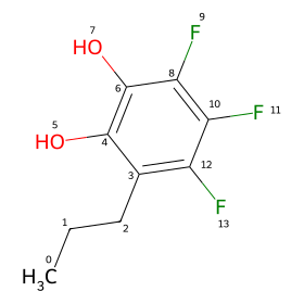 CCCc1c(O)c(O)c(F)c(F)c1F